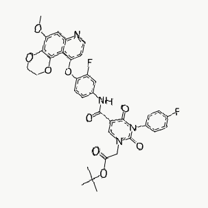 COc1cc2nccc(Oc3ccc(NC(=O)c4cn(CC(=O)OC(C)(C)C)c(=O)n(-c5ccc(F)cc5)c4=O)cc3F)c2c2c1OCCO2